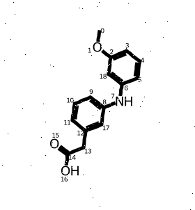 COc1cccc(Nc2cccc(CC(=O)O)c2)c1